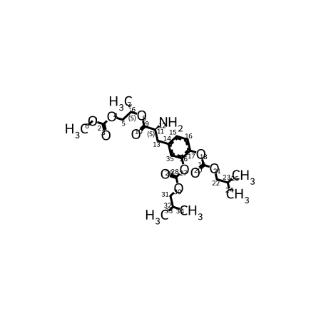 COC(=O)OC[C@H](C)OC(=O)[C@@H](N)Cc1ccc(OC(=O)OCC(C)C)c(OC(=O)OCC(C)C)c1